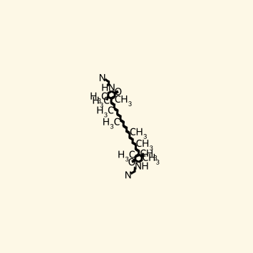 CC1=C(/C=C/C(C)=C/C=C/C(C)=C/C=C/C=C(C)/C=C/C=C(C)/C=C/C2=C(C)C(=O)C(NCCC#N)CC2(C)C)C(C)(C)CC(NCCC#N)C1=O